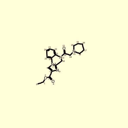 CCOC(=O)c1cn2c(n1)CN(C(=O)CN1CCCCC1)c1ccccc1-2